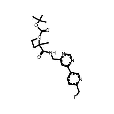 CC(C)(C)OC(=O)N1CCC1(C)C(=O)NCc1cc(-c2ccc(CF)nc2)ncn1